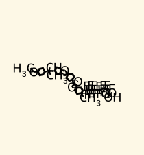 COc1ccc(C(C)(C)c2ccc(Oc3ccc(S(=O)(=O)c4ccc(C)c(C(F)(F)C(F)(F)C(F)(F)C(F)(F)C(F)(F)C(F)(F)S(=O)(=O)O)c4)cc3)cc2)cc1